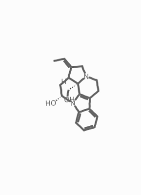 C/C=C1/CN2CCc3c4n(c5ccccc35)[C@H](O)C[C@@H]1[C@]42CO